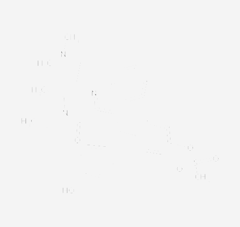 CCN(CC)C(=O)c1c(C(c2ccc(O)cc2)c2ccc(OS(C)(=O)=O)cc2)c2ccccc2n1CCN(C)C